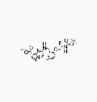 CCOC(=O)c1cnn2ccc(N[C@H](C)c3cc(F)ccc3OC[C@@H](F)NC(=O)OC(C)(C)C)nc12